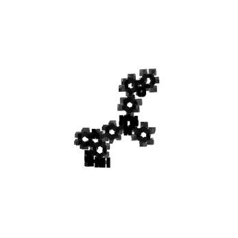 N=C1C=Cc2c(-c3ccc(-c4nc(-c5ccccc5)nc(-c5ccc(-c6cccc7c6oc6ccccc67)cc5)n4)cc3)nc3ccccc3c2/C1=N/S